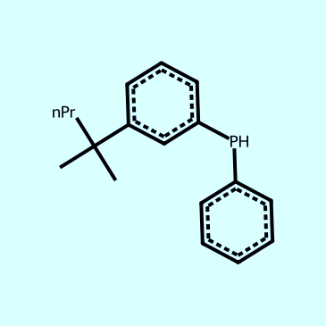 CCCC(C)(C)c1cccc(Pc2ccccc2)c1